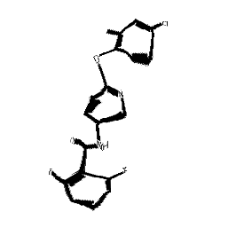 Cc1cc(Cl)ccc1Oc1ccc(NC(=O)c2c(F)cccc2F)cn1